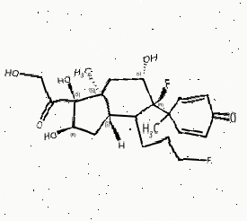 CC1([C@]2(F)C(CCCF)[C@@H]3C[C@@H](O)[C@](O)(C(=O)CO)[C@@]3(C)C[C@@H]2O)C=CC(=O)C=C1